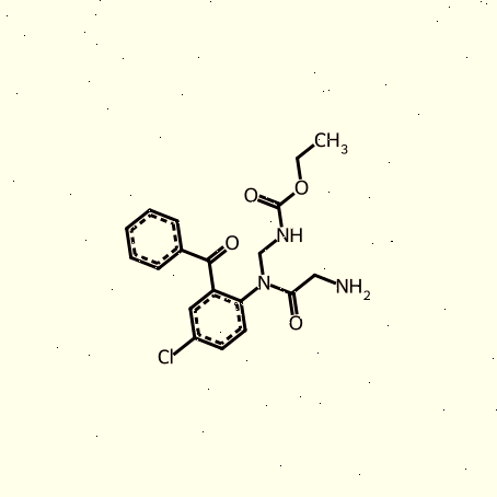 CCOC(=O)NCN(C(=O)CN)c1ccc(Cl)cc1C(=O)c1ccccc1